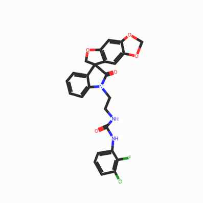 O=C(NCCN1C(=O)C2(COc3cc4c(cc32)OCO4)c2ccccc21)Nc1cccc(Cl)c1F